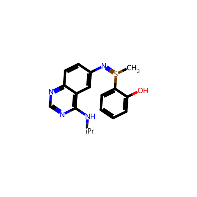 CC(C)Nc1ncnc2ccc(N=S(C)c3ccccc3O)cc12